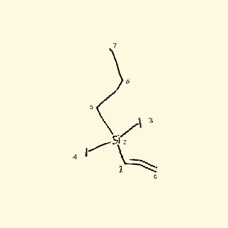 C=C[Si](I)(I)CCC